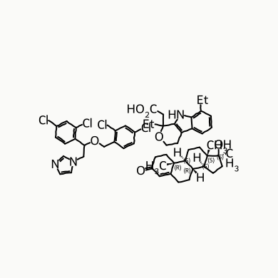 CCc1cccc2c3c([nH]c12)C(CC)(CC(=O)O)OCC3.C[C@]12CCC(=O)C=C1CC[C@@H]1[C@@H]2CC[C@@]2(C)[C@H]1CC[C@]2(C)O.Clc1ccc(COC(Cn2ccnc2)c2ccc(Cl)cc2Cl)c(Cl)c1